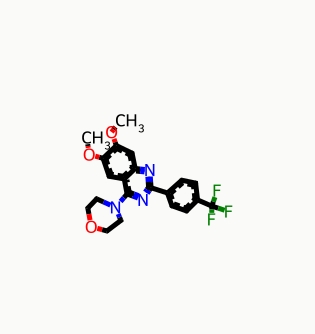 COc1cc2nc(-c3ccc(C(F)(F)F)cc3)nc(N3CCOCC3)c2cc1OC